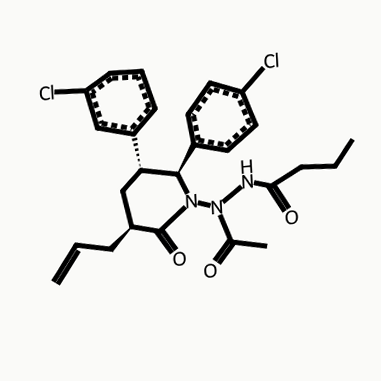 C=CC[C@H]1C[C@H](c2cccc(Cl)c2)[C@@H](c2ccc(Cl)cc2)N(N(NC(=O)CCC)C(C)=O)C1=O